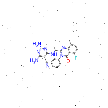 Cc1ccc(F)c2c(=O)n(-c3ccccc3)c(C(C)Nc3nc(N)nc(N)c3C#N)nc12